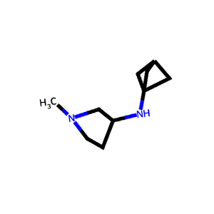 CN1CCC(NC23CC(C2)C3)C1